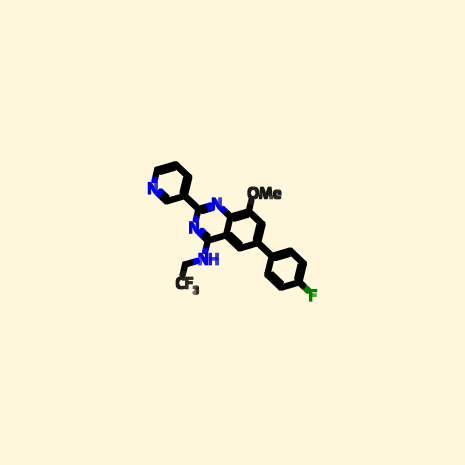 COc1cc(-c2ccc(F)cc2)cc2c(NCC(F)(F)F)nc(-c3cccnc3)nc12